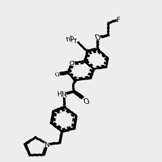 CCCc1c(OCCF)ccc2cc(C(=O)Nc3ccc(CN4CCCC4)cc3)c(=O)oc12